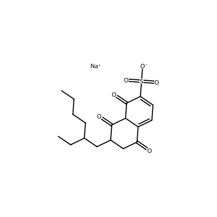 CCCCC(CC)CC1CC(=O)C2=CC=C(S(=O)(=O)[O-])C(=O)C2C1=O.[Na+]